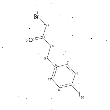 O=C(CBr)CCc1ccc(I)cc1